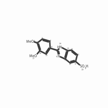 COc1ccc(-c2nc3cc(S(=O)(=O)O)ccc3[nH]2)cc1OC